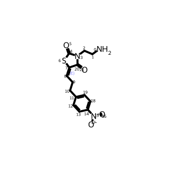 NCCN1C(=O)S/C(=C/CCc2ccc([N+](=O)[O-])cc2)C1=O